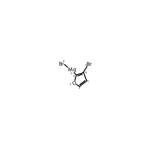 [Br][Mg][c]1occc1Br